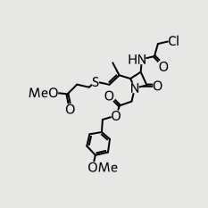 COC(=O)CCSC=C(C)C1C(NC(=O)CCl)C(=O)N1CC(=O)OCc1ccc(OC)cc1